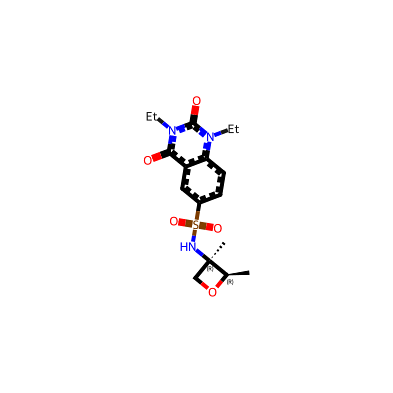 CCn1c(=O)c2cc(S(=O)(=O)N[C@]3(C)CO[C@@H]3C)ccc2n(CC)c1=O